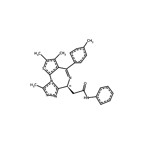 Cc1ccc(C2=N[C@@H](CC(=O)Nc3ccccc3)c3nnc(C)n3-c3sc(C)c(C)c32)cc1